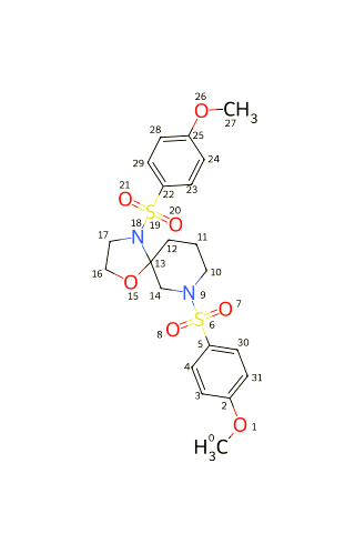 COc1ccc(S(=O)(=O)N2CCCC3(C2)OCCN3S(=O)(=O)c2ccc(OC)cc2)cc1